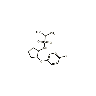 CC(C)S(=O)(=O)NC1CCCC1Oc1ccc(Br)cc1